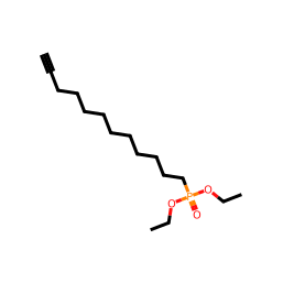 C#CCCCCCCCCCCP(=O)(OCC)OCC